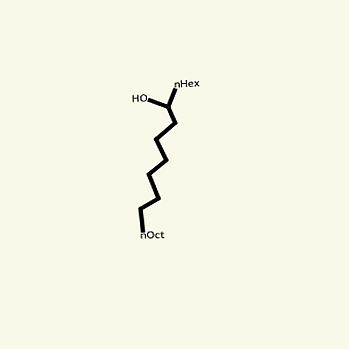 CCCCCCCCCCCCCCC(O)CCCCCC